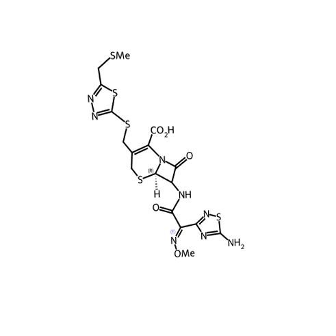 CO/N=C(/C(=O)NC1C(=O)N2C(C(=O)O)=C(CSc3nnc(CSC)s3)CS[C@H]12)c1nsc(N)n1